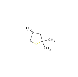 C=C1CSC(C)(C)C1